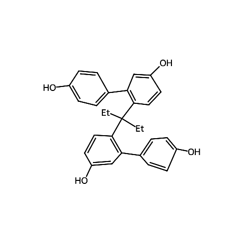 CCC(CC)(c1ccc(O)cc1-c1ccc(O)cc1)c1ccc(O)cc1-c1ccc(O)cc1